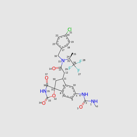 CNC(=O)Nc1ccc2c(c1)C(CC(=O)N(Cc1ccc(Cl)cc1)[C@@H](C)C(F)(F)F)CC21OC(=O)NC1=O